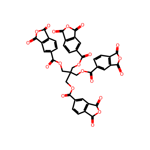 O=C(OCC(COC(=O)c1ccc2c(c1)C(=O)OC2=O)(COC(=O)c1ccc2c(c1)C(=O)OC2=O)COC(=O)c1ccc2c(c1)C(=O)OC2=O)c1ccc2c(c1)C(=O)OC2=O